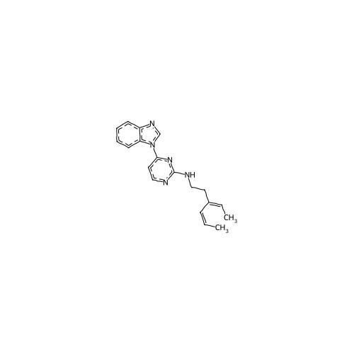 C/C=C\C(=C/C)CCNc1nccc(-n2cnc3ccccc32)n1